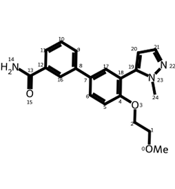 COCCOc1ccc(-c2cccc(C(N)=O)c2)cc1-c1ccnn1C